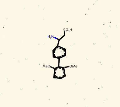 COc1cccc(OC)c1-c1ccc(C(N)CC(=O)O)cc1